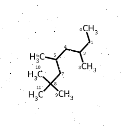 CCC(C)CC(C)CC(C)(C)C